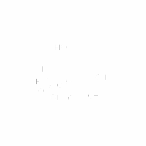 Cc1c(C)c2ccc(O)cc2oc1=O.O=S(=O)(O)C(F)(F)F